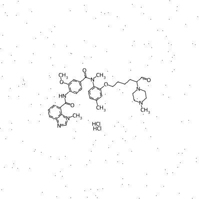 COc1cc(C(=O)N(C)c2ccc(C)cc2OCCCCC(C=O)N2CCN(C)CC2)ccc1NC(=O)c1cccc2ncn(C)c12.Cl.Cl